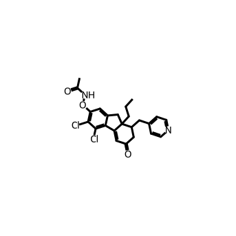 CCCC12Cc3cc(ONC(C)=O)c(Cl)c(Cl)c3C1=CC(=O)CC2Cc1ccncc1